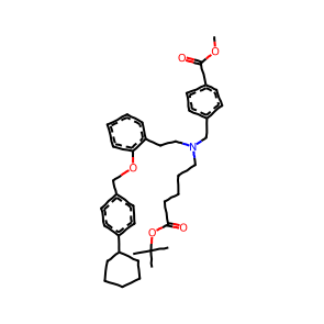 COC(=O)c1ccc(CN(CCCCC(=O)OC(C)(C)C)CCc2ccccc2OCc2ccc(C3CCCCC3)cc2)cc1